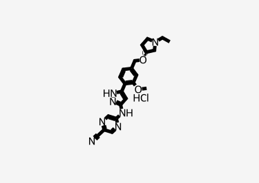 CCN1CC[C@H](OCc2ccc(-c3cc(Nc4cnc(C#N)cn4)n[nH]3)c(OC)c2)C1.Cl